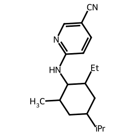 CCC1CC(C(C)C)CC(C)C1Nc1ccc(C#N)cn1